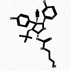 CC(C)(C)C[C@H]1[C@@H](OC(=O)NCCCO)N[C@H](c2cccc(Cl)c2)[C@]1(C#N)c1ccc(Cl)cc1